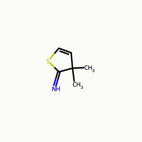 CC1(C)C=CSC1=N